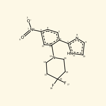 O=[N+]([O-])c1ccc(-c2ncc[nH]2)c(N2CCC(F)(F)CC2)c1